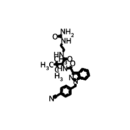 CC(C)(C)C(NC(=O)c1nn(Cc2ccc(C#N)cc2)c2ccccc12)C(=O)NCCNC(N)=O